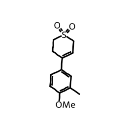 COc1ccc(C2=CCS(=O)(=O)CC2)cc1C